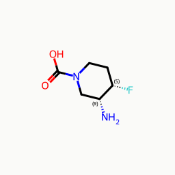 N[C@@H]1CN(C(=O)O)CC[C@@H]1F